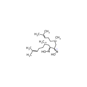 CC(C)=CCC[C@H](C)CC(=NO)/C(C[C@@H](C)CCC=C(C)C)=N\O